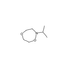 CC(C)N1CCOCCO1